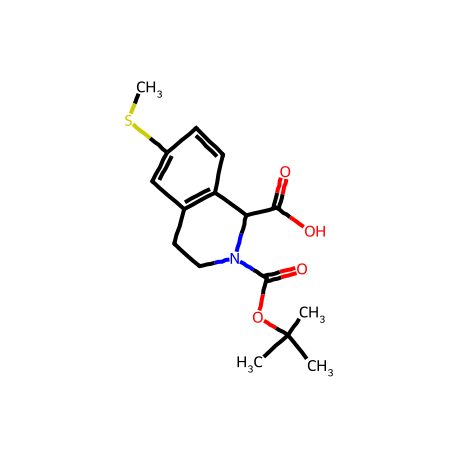 CSc1ccc2c(c1)CCN(C(=O)OC(C)(C)C)C2C(=O)O